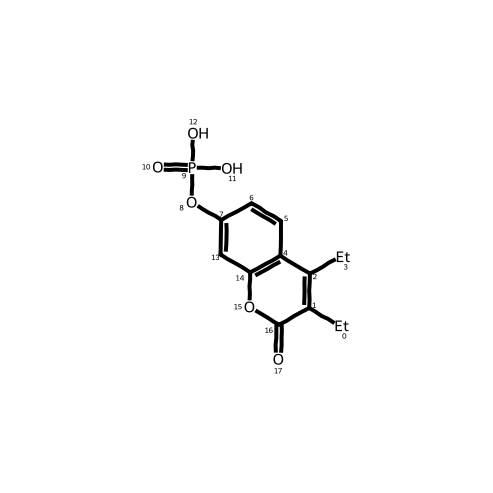 CCc1c(CC)c2ccc(OP(=O)(O)O)cc2oc1=O